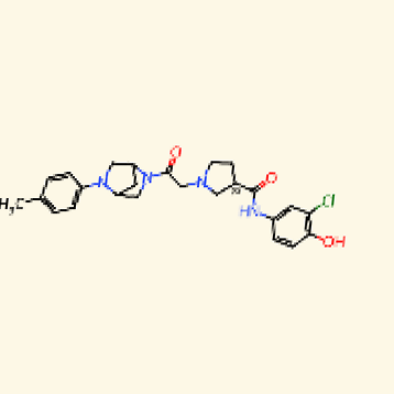 Cc1ccc(N2CC3CC2CN3C(=O)CN2CC[C@@H](C(=O)Nc3ccc(O)c(Cl)c3)C2)cc1